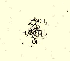 Cc1cccc(C)c1OC(C)NC(C)(C)CCO